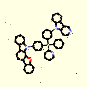 c1ccc([Si](c2ccc(-n3c4ccccc4c4ccc5c6ccccc6oc5c43)cc2)(c2cccc(-n3c4ccccc4c4cnccc43)c2)c2ccccn2)cc1